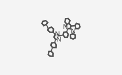 c1ccc(-c2ccc(-c3cc(-c4ccc(-c5ccccc5)cc4)nc(-c4cccc(-c5nc6ccccc6c6c7ccccc7n(-c7ccccc7)c56)c4)n3)cc2)cc1